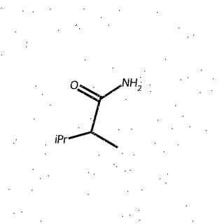 CC(C)C(C)C(N)=O